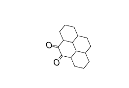 O=C1C(=O)C2CCCC3CCC4CCCC1C4C32